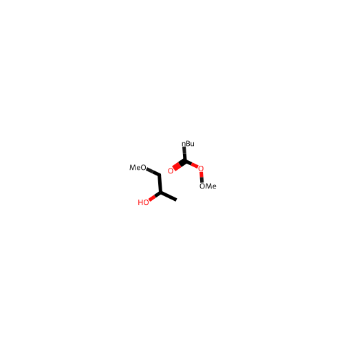 CCCCC(=O)OOC.COCC(C)O